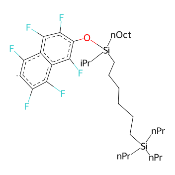 CCCCCCCC[Si](CCCCCC[Si](CCC)(CCC)CCC)(Oc1c(F)c(F)c2c(F)[c]c(F)c(F)c2c1F)C(C)C